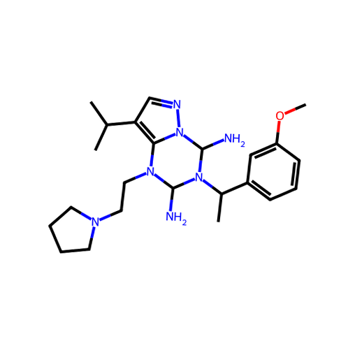 COc1cccc(C(C)N2C(N)N(CCN3CCCC3)c3c(C(C)C)cnn3C2N)c1